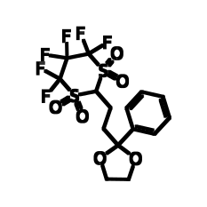 O=S1(=O)C(CCC2(c3ccccc3)OCCO2)S(=O)(=O)C(F)(F)C(F)(F)C1(F)F